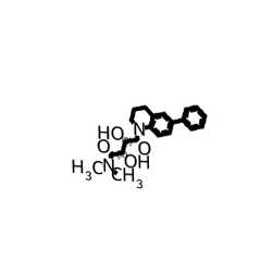 CN(C)C(=O)[C@H](O)[C@@H](O)C(=O)N1CCCc2cc(-c3ccccc3)ccc21